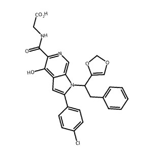 O=C(O)CNC(=O)c1ncc2c(cc(-c3ccc(Cl)cc3)n2C(Cc2ccccc2)C2=COCO2)c1O